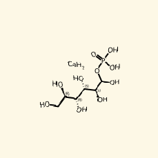 O=P(O)(O)OC(O)[C@@H](O)[C@@H](O)[C@H](O)[C@H](O)CO.[CaH2]